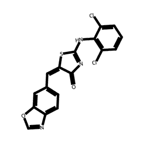 O=C1N=C(Nc2c(Cl)cccc2Cl)SC1=Cc1ccc2ncoc2c1